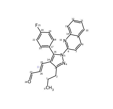 CCCc1nn(-c2ccc3ccccc3n2)c(-c2ccc(F)cc2)c1/C=C/C=O